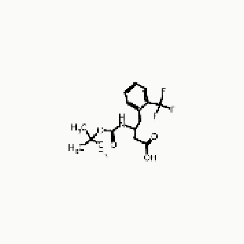 CC(C)(C)OC(=O)N[C@H](CC(=O)O)Cc1ccccc1C(F)(F)F